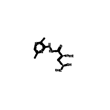 CCCCC[C@H](CN(O)C=O)C(=O)NNc1nc(C)cnc1C